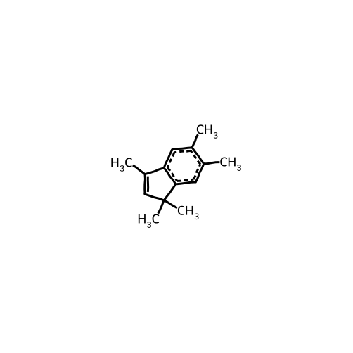 CC1=CC(C)(C)c2cc(C)c(C)cc21